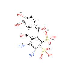 Nc1c(N)c(S(=O)(=O)O)c(S(=O)(=O)O)c2c1C(=O)c1c(ccc(O)c1O)C2=O